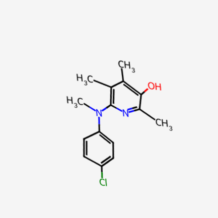 Cc1nc(N(C)c2ccc(Cl)cc2)c(C)c(C)c1O